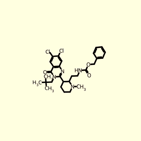 CN1CCCC(c2nc3cc(Cl)c(Cl)cc3c(=O)n2CC(C)(C)C)C1CCNC(=O)OCc1ccccc1